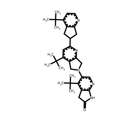 CC(C)(C)c1ccnc2c1CC(c1cc(C(C)(C)C)c3c(n1)CN(c1cnc4c(c1C(C)(C)C)CC(=O)N4)C3)C2